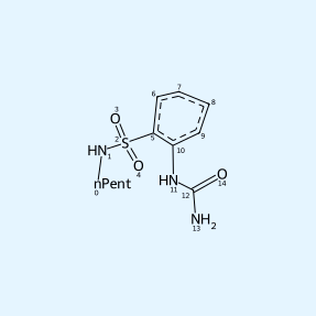 CCCCCNS(=O)(=O)c1ccccc1NC(N)=O